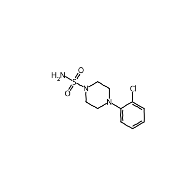 NS(=O)(=O)N1CCN(c2ccccc2Cl)CC1